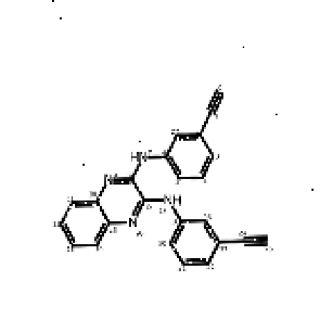 C#Cc1cccc(Nc2nc3ccccc3nc2Nc2cccc(C#C)c2)c1